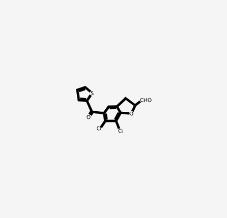 O=CC1Cc2cc(C(=O)c3cccs3)c(Cl)c(Cl)c2O1